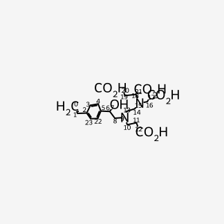 C=Cc1ccc(C(O)CN(CCC(=O)O)CCN(CC(=O)O)C(CC(=O)O)C(=O)O)cc1